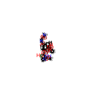 CC(=O)O[C@@]12CO[C@@H]1CC[C@@]1(C)[C@@H]3O[C@H](CN4CC(OC(=O)N(C)C)C4)O[C@@H]3C3=C(C)[C@@H](OC(=O)[C@H](O)[C@@H](NC(=O)OC(C)(C)C)c4ncccc4F)C[C@@](O)([C@@H](OC(=O)c4ccccc4)[C@@H]12)C3(C)C